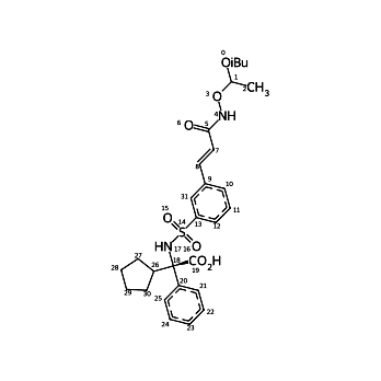 CC(C)COC(C)ONC(=O)/C=C/c1cccc(S(=O)(=O)N[C@](C(=O)O)(c2ccccc2)C2CCCC2)c1